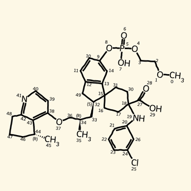 COCCOP(=O)(O)Oc1ccc2c(c1)C1(CCC(Nc3cccc(Cl)c3)(C(=O)O)CC1)[C@@H](C[C@@H](C)COc1ccnc3c1[C@H](C)CCC3)C2